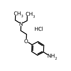 CCN(CC)CCOc1ccc(N)cc1.Cl